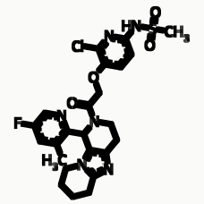 Cc1cc(F)cnc1C1c2c(nc3n2CCCC3)CCN1C(=O)COc1ccc(NS(C)(=O)=O)nc1Cl